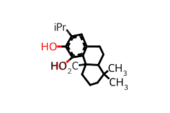 CC(C)c1cc2c(c(O)c1O)C1(C(=O)O)CCCC(C)(C)C1CC2